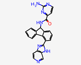 Nc1nccc(C(=O)NC2c3ccccc3-c3c(-c4nc5ccncc5[nH]4)cccc32)n1